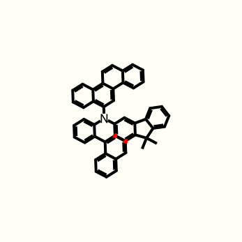 CC1(C)c2ccccc2-c2cc(N(c3ccccc3-c3cccc4ccccc34)c3cc4c5ccccc5ccc4c4ccccc34)ccc21